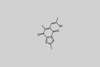 CC1=C(/C=C(/C)S)C(=O)c2cc(C)sc2C1=O